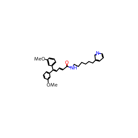 COc1cccc(C(=CC=CC(=O)NCCCCCCc2cccnc2)c2cccc(OC)c2)c1